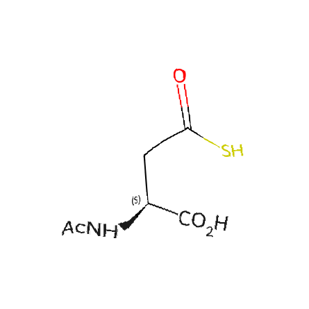 CC(=O)N[C@@H](CC(=O)S)C(=O)O